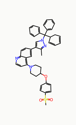 Cc1nn(C(c2ccccc2)(c2ccccc2)C2C=CC=CC2)cc1-c1ccc2nccc(N3CCC(Oc4ccc(S(C)(=O)=O)cc4)CC3)c2c1